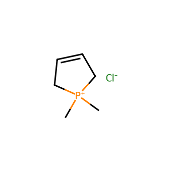 C[P+]1(C)CC=CC1.[Cl-]